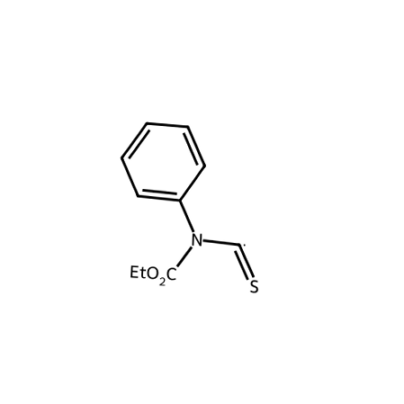 CCOC(=O)N([C]=S)c1ccccc1